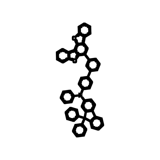 c1ccc(N(c2ccc(-c3cccc(-c4cc5c6ccccc6oc5c5c4oc4ccccc45)c3)cc2)c2ccc3c(c2)C(c2ccccc2)(c2ccccc2)c2ccccc2-3)cc1